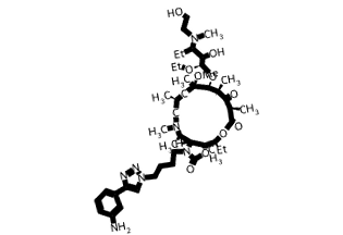 CCO[C@@H](O[C@@H]1[C@@H](C)C(=O)[C@@H](C)C(=O)O[C@H](CC)[C@@]2(C)OC(=O)N(CCCCn3cc(-c4cccc(N)c4)nn3)[C@@H]2[C@@H](C)N(C)C[C@H](C)C[C@@]1(C)OC)C(O)C(CC)N(C)CCO